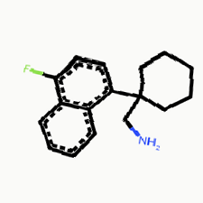 NCC1(c2ccc(F)c3ccccc23)CCCCC1